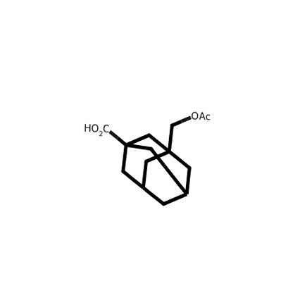 CC(=O)OCC12CC3CC(C1)CC(C(=O)O)(C3)C2